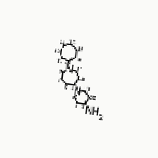 NC1CCN(C2CCCN(C3CCCCCC3)CC2)CC1